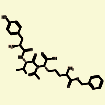 CC(=O)N(C(=O)[C@@H](NC(=O)[C@@H](N)Cc1ccc(O)cc1)C(C)C)[C@@H](CCCC(N)C(=O)OCc1ccccc1)C(=O)O